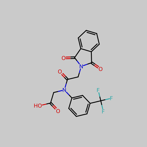 O=C(O)CN(C(=O)CN1C(=O)c2ccccc2C1=O)c1cccc(C(F)(F)F)c1